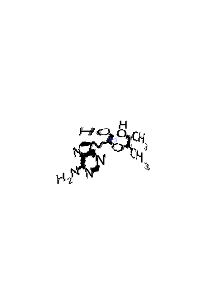 C[C@@H](O)[C@@H](C)O/C(=C/O)n1cnc2c(N)ncnc21